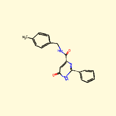 Cc1ccc(CNC(=O)c2cc(=O)[nH]c(-c3ccccc3)n2)cc1